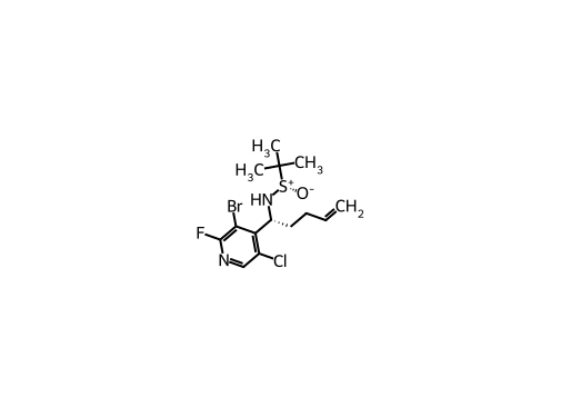 C=CCC[C@@H](N[S@@+]([O-])C(C)(C)C)c1c(Cl)cnc(F)c1Br